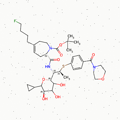 C[C@H](Sc1ccc(C(=O)N2CCOCC2)cc1)[C@@H](NC(=O)[C@@H]1CC=C(CCCCF)CCN1C(=O)OC(C)(C)C)[C@H]1OC(C2CC2)[C@H](O)C(O)C1O